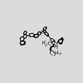 C=C(/C=C\C=C/C)C1CC(c2ccc3c(c2)c2ccccc2n3-c2ccc3c4c(ccc3c2)C=C(C2=c3ccccc3=C3C=Cc5ccccc5C3C2)CC4)=CC=C1Nc1ccccc1